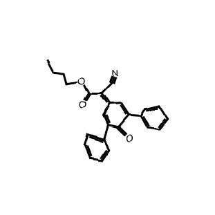 CCCCOC(=O)C(C#N)=C1C=C(c2ccccc2)C(=O)C(c2ccccc2)=C1